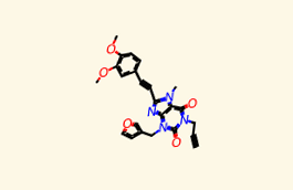 C#CCn1c(=O)c2c(nc(C#Cc3ccc(OC)c(OC)c3)n2C)n(Cc2ccoc2)c1=O